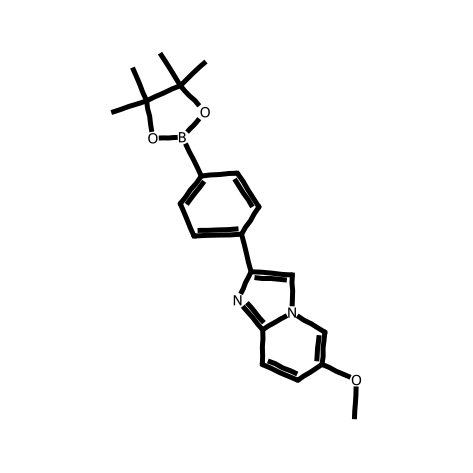 COc1ccc2nc(-c3ccc(B4OC(C)(C)C(C)(C)O4)cc3)cn2c1